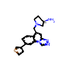 N[C@@H]1CCN(Cc2cc3nncn3c3cc(-c4ccsc4)ccc23)C1